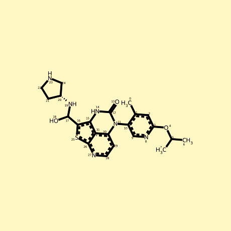 Cc1cc(OC(C)C)ncc1N1C(=O)Nc2c(C(O)N[C@@H]3CCNC3)sc3nccc1c23